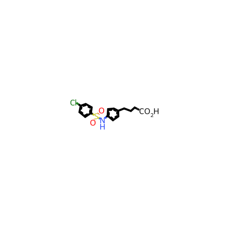 O=C(O)CCCc1ccc(NS(=O)(=O)c2ccc(Cl)cc2)cc1